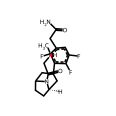 CNCC(=O)N1C2CC[C@@H]1CC(c1c(F)c(F)cc(CC(N)=O)c1F)C2